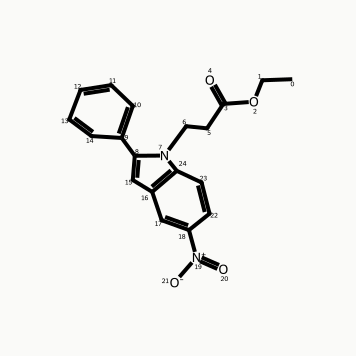 CCOC(=O)CCn1c(-c2ccccc2)cc2cc([N+](=O)[O-])ccc21